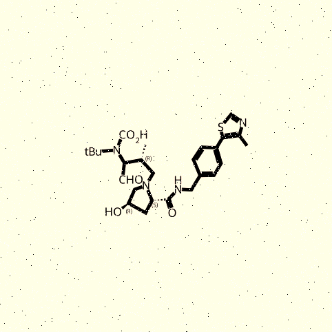 Cc1ncsc1-c1ccc(CNC(=O)[C@@H]2C[C@@H](O)CN2C[C@@H](C)C(C=O)N(C(=O)O)C(C)(C)C)cc1